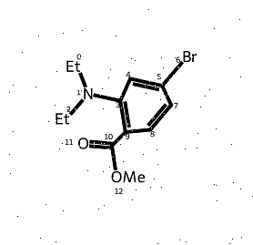 CCN(CC)c1cc(Br)ccc1C(=O)OC